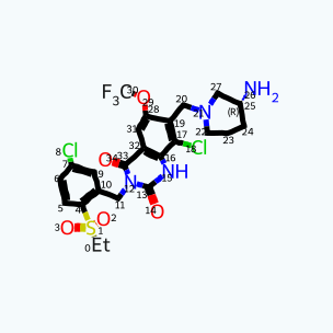 CCS(=O)(=O)c1ccc(Cl)cc1Cn1c(=O)[nH]c2c(Cl)c(CN3CCC[C@@H](N)C3)c(OC(F)(F)F)cc2c1=O